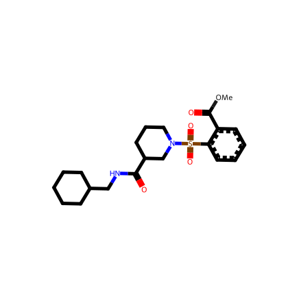 COC(=O)c1ccccc1S(=O)(=O)N1CCCC(C(=O)NCC2CCCCC2)C1